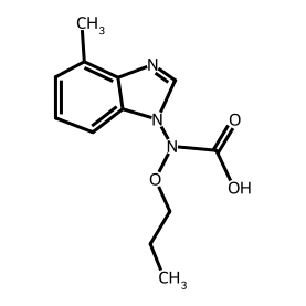 CCCON(C(=O)O)n1cnc2c(C)cccc21